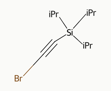 CC(C)[Si](C#CBr)(C(C)C)C(C)C